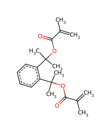 C=C(C)C(=O)OC(C)(C)c1ccccc1C(C)(C)OC(=O)C(=C)C